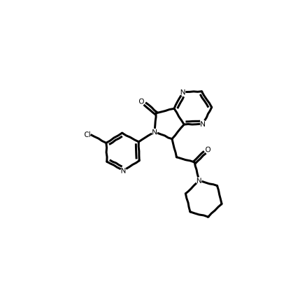 O=C(CC1c2nccnc2C(=O)N1c1cncc(Cl)c1)N1CCCCC1